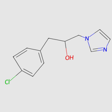 OC(Cc1ccc(Cl)cc1)Cn1ccnc1